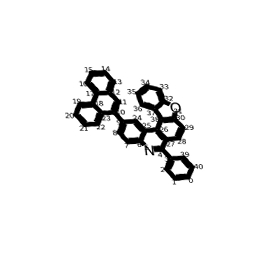 c1ccc(-c2nc3ccc(-c4cc5ccccc5c5ccccc45)cc3c3c2ccc2oc4ccccc4c23)cc1